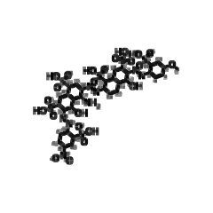 COc1ccc(N=Nc2c(S(=O)(=O)O)cc3c(S(=O)(=O)O)c(N=Nc4cc(S(=O)(=O)O)c5cc(S(=O)(=O)O)c(N=Nc6ccc([N+](=O)[O-])cc6S(=O)(=O)O)c(O)c5c4N)ccc3c2O)c(S(=O)(=O)O)c1